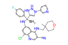 BC(Nc1cc(Cl)c2ncc(C#N)c(NCC3(C)CCOCC3)c2c1)(C1=CN(c2cccnc2)NN1)c1ccc(F)cc1